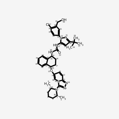 C[C@@H]1CCC[C@H](C)N1c1nnc2ccc(O[C@@H]3CC[C@H](NC(=O)Nc4cc(C(C)(C)C)nn4-c4ccc(Cl)c(CO)c4)c4ccccc43)cn12